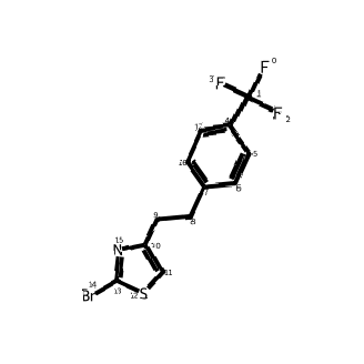 FC(F)(F)c1ccc(CCc2csc(Br)n2)cc1